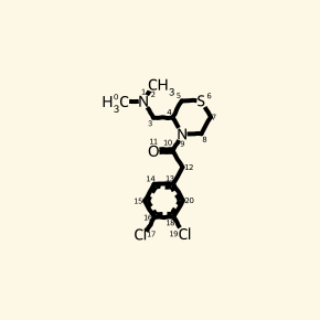 CN(C)CC1CSCCN1C(=O)Cc1ccc(Cl)c(Cl)c1